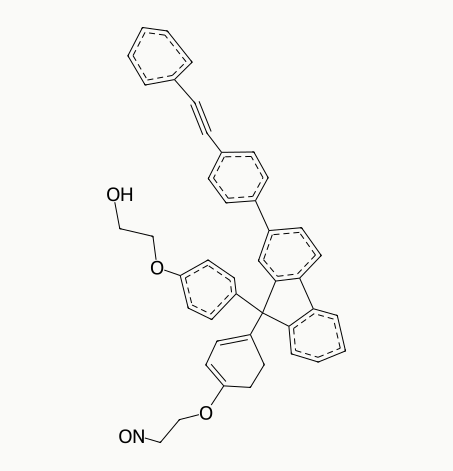 O=NCCOC1=CC=C(C2(c3ccc(OCCO)cc3)c3ccccc3-c3ccc(-c4ccc(C#Cc5ccccc5)cc4)cc32)CC1